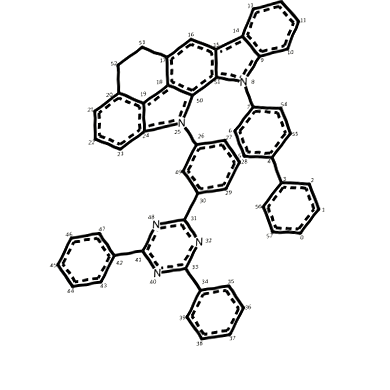 c1ccc(-c2ccc(-n3c4ccccc4c4cc5c6c7c(cccc7n(-c7cccc(-c8nc(-c9ccccc9)nc(-c9ccccc9)n8)c7)c6c43)CC5)cc2)cc1